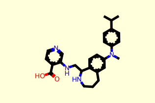 CC(C)c1ccc(N(C)c2ccc3c(c2)CCCNC3CNc2cnccc2C(=O)O)cc1